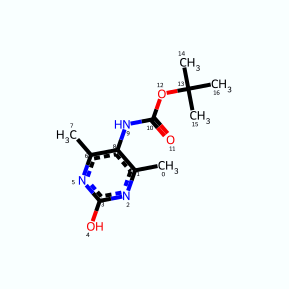 Cc1nc(O)nc(C)c1NC(=O)OC(C)(C)C